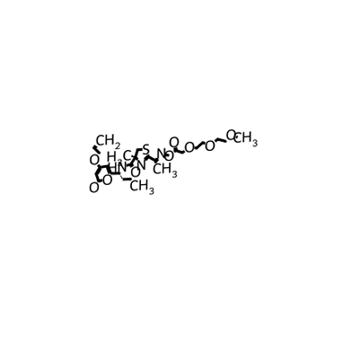 C=CCOc1cc([C@@H](CCC)NC(=O)[C@]2(C)CSC(/C(C)=N/OC(=O)COCCOCCOC)=N2)oc(=O)c1